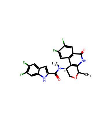 CC1OC[C@@H](N(C)C(=O)c2cc3cc(F)c(F)cc3[nH]2)c2c1[nH]c(=O)c1cc(F)c(F)cc21